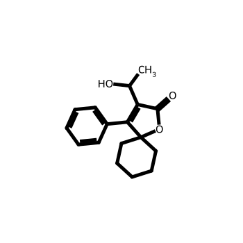 CC(O)C1=C(c2ccccc2)C2(CCCCC2)OC1=O